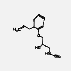 C=CCc1ccccc1OCC(O)CNC(C)(C)C